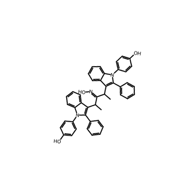 CC(C(=NO)C(C)c1c(-c2ccccc2)n(-c2ccc(O)cc2)c2ccccc12)c1c(-c2ccccc2)n(-c2ccc(O)cc2)c2ccccc12